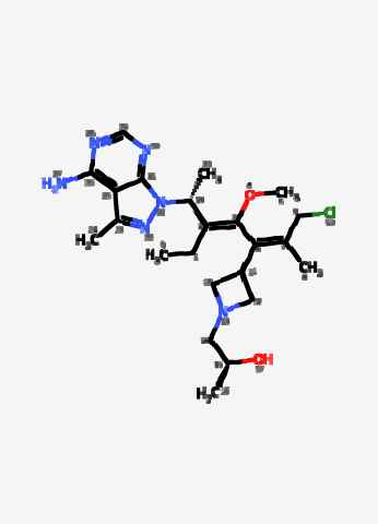 CC/C(=C(OC)\C(=C(\C)CCl)C1CN(C[C@H](C)O)C1)[C@@H](C)n1nc(C)c2c(N)ncnc21